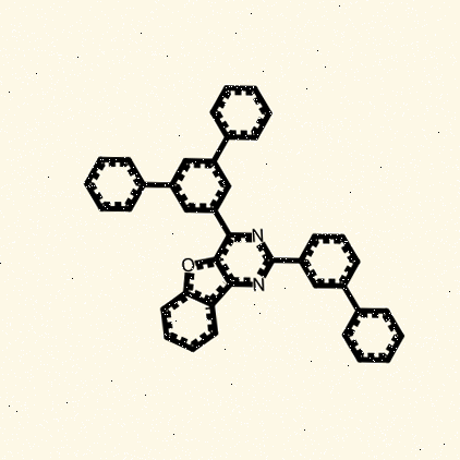 c1ccc(-c2cccc(-c3nc(-c4cc(-c5ccccc5)cc(-c5ccccc5)c4)c4oc5ccccc5c4n3)c2)cc1